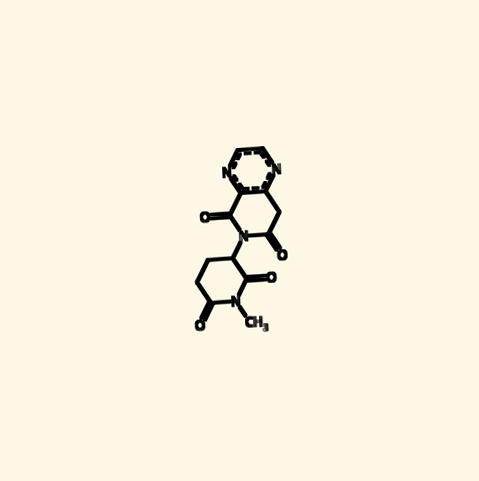 CN1C(=O)CCC(N2C(=O)Cc3nccnc3C2=O)C1=O